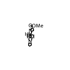 COC(=O)c1ccc(CNS(=O)(=O)C2CCN(c3ccccc3)CC2)nc1.Cl